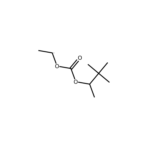 C[CH]OC(=O)OC(C)C(C)(C)C